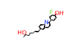 CC(O)CCCC=Cc1ccc2nc(-c3ccc(O)c(F)c3)ccc2c1